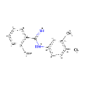 COc1ccccc1C(=N)Nc1ccc(C#N)c(C)c1